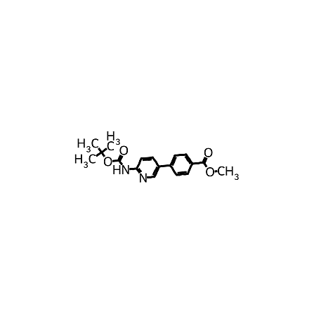 COC(=O)c1ccc(-c2ccc(NC(=O)OC(C)(C)C)nc2)cc1